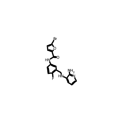 Nc1ncccc1NCc1cc(NC(=O)c2ccc(Br)o2)ccc1F